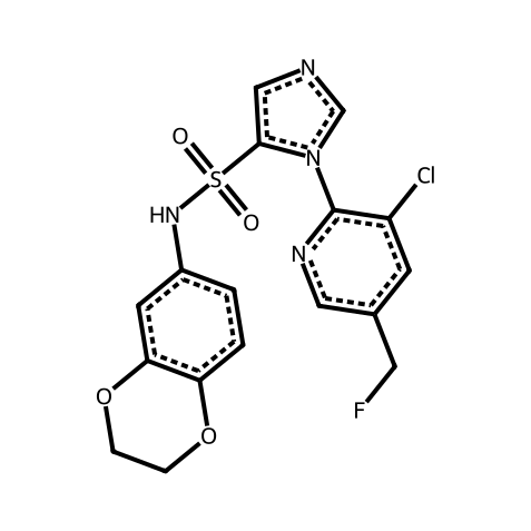 O=S(=O)(Nc1ccc2c(c1)OCCO2)c1cncn1-c1ncc(CF)cc1Cl